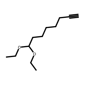 C#CCCCCCC(OCC)OCC